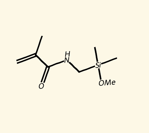 C=C(C)C(=O)NC[Si](C)(C)OC